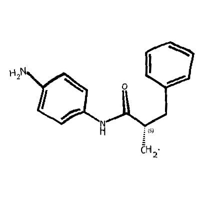 [CH2][C@@H](Cc1ccccc1)C(=O)Nc1ccc(N)cc1